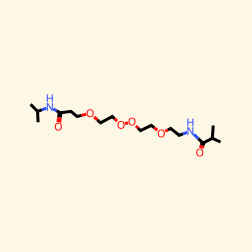 CC(C)NC(=O)CCOCCOOCCOCCNC(=O)C(C)C